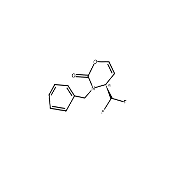 O=C1OC=C[C@@H](C(F)F)N1Cc1ccccc1